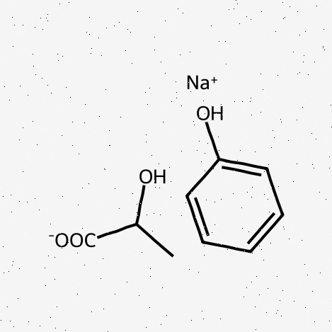 CC(O)C(=O)[O-].Oc1ccccc1.[Na+]